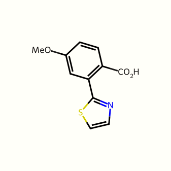 COc1ccc(C(=O)O)c(-c2nccs2)c1